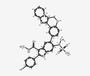 CNC(=O)c1c(-c2ccc(F)cc2)oc2cc(N(C)S(C)(=O)=O)c(-c3ccc4c(c3)-c3nc5ccccn5c3CO4)cc12